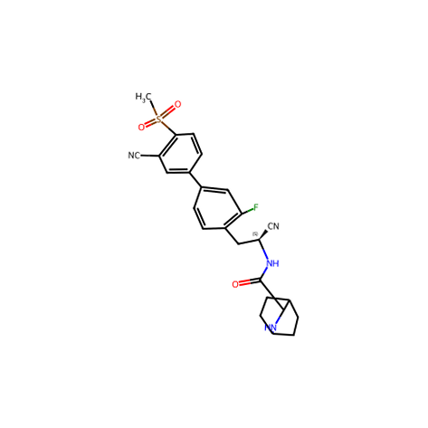 CS(=O)(=O)c1ccc(-c2ccc(C[C@@H](C#N)NC(=O)C3NC4CCC3CC4)c(F)c2)cc1C#N